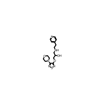 OC(CNCCc1ccncc1)COc1nsnc1N1CCOCC1